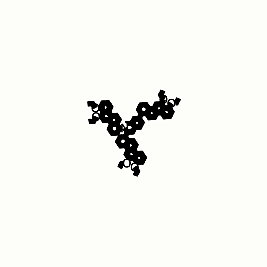 CCOc1cccc2c1c(OCC)cc1c3c(ccc12)C(C1=Cc2ccc(C4CCCc5c4ccc4c5cc(OCC)c5c(OCC)cccc54)cc2CN1C1CCCc2c1ccc1c2cc(OCC)c2c(OCC)cccc21)CCC3